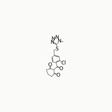 Cn1nnnc1SCc1ccc(C(=O)C2C(=O)CCCC2=O)c(Cl)c1